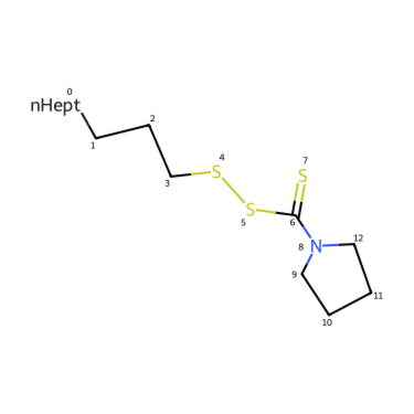 CCCCCCCCCCSSC(=S)N1CCCC1